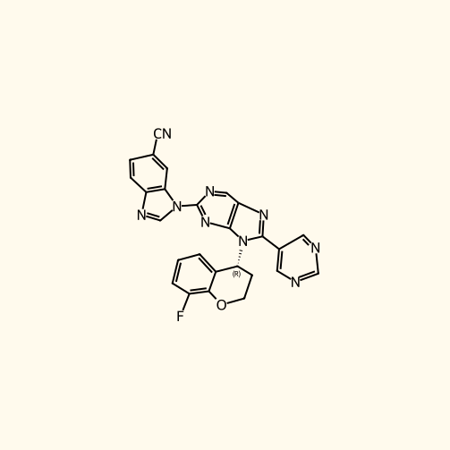 N#Cc1ccc2ncn(-c3ncc4nc(-c5cncnc5)n([C@@H]5CCOc6c(F)cccc65)c4n3)c2c1